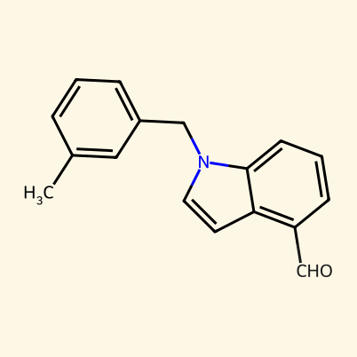 Cc1cccc(Cn2ccc3c(C=O)cccc32)c1